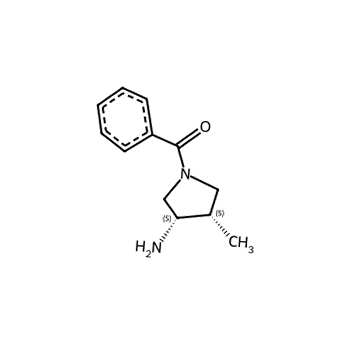 C[C@H]1CN(C(=O)c2ccccc2)C[C@H]1N